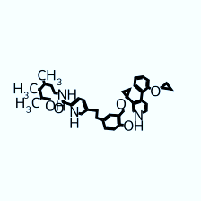 CC(CCNC(=O)C1=CC=C(CCc2ccc(O)c(COC3(c4cnccc4-c4ccccc4OC4CC4)CC3)c2)CN1)C(C)[C@H](C)CO